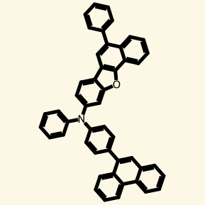 c1ccc(-c2cc3c4ccc(N(c5ccccc5)c5ccc(-c6cc7ccccc7c7ccccc67)cc5)cc4oc3c3ccccc23)cc1